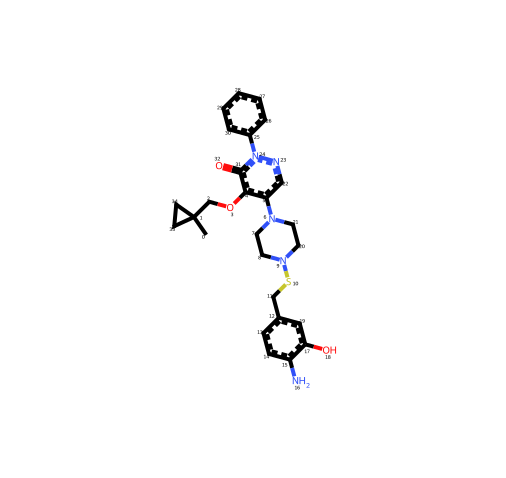 CC1(COc2c(N3CCN(SCc4ccc(N)c(O)c4)CC3)cnn(-c3ccccc3)c2=O)CC1